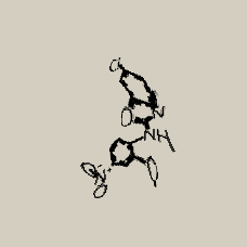 COc1cc([N+](=O)[O-])ccc1Nc1nc2ccc(Cl)cc2o1